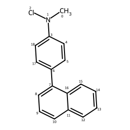 CN(Cl)c1ccc(-c2cccc3ccccc23)cc1